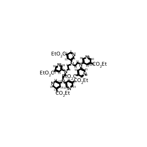 CCOC(=O)c1cncc(N(CCN(CCN(c2cncc(C(=O)OCC)c2)c2cncc(C(=O)OCC)c2)c2cncc(C(=O)OCC)c2)CCN(c2cncc(C(=O)OCC)c2)c2cncc(C(=O)OCC)c2)c1